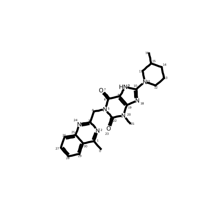 Cc1nc(Cn2c(=O)c3[nH]c(N4CCCC(C)C4)nc3n(C)c2=O)nc2ccccc12